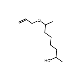 C=CCOC(C)CCCCC(C)O